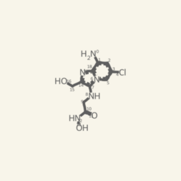 Nc1cc(Cl)cn2c(NCC(=O)NO)c(CO)nc12